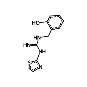 N=C(NCc1ccccc1O)Nc1nccs1